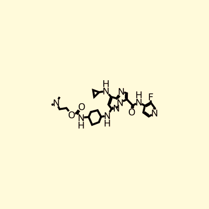 CN(C)CCOC(=O)NC1CCC(Nc2cc(NC3CC3)c3ncc(C(=O)Nc4ccncc4F)n3n2)CC1